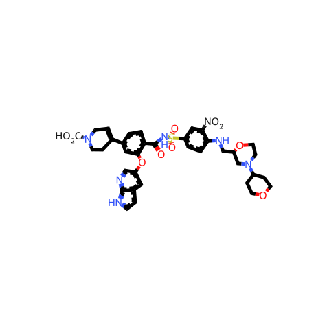 O=C(NS(=O)(=O)c1ccc(NCC2CN(C3CCOCC3)CCO2)c([N+](=O)[O-])c1)c1ccc(C2=CCN(C(=O)O)CC2)cc1Oc1cnc2[nH]ccc2c1